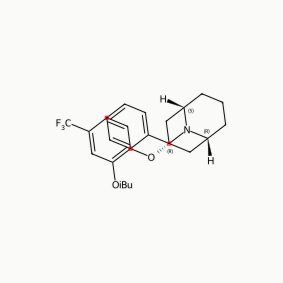 CC(C)COc1cc(C(F)(F)F)ccc1O[C@H]1C[C@H]2CCC[C@@H](C1)N2Cc1ccccc1